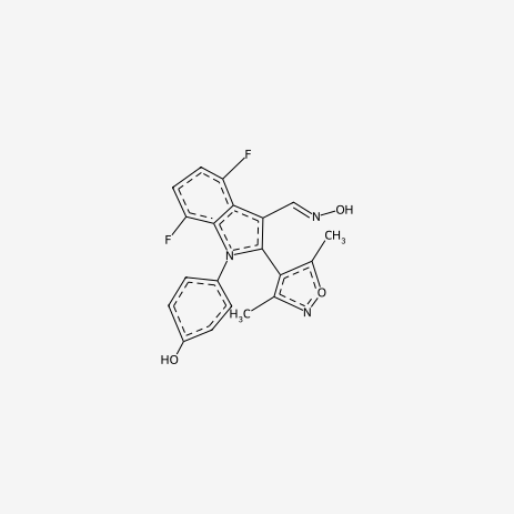 Cc1noc(C)c1-c1c(C=NO)c2c(F)ccc(F)c2n1-c1ccc(O)cc1